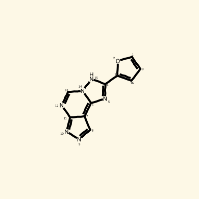 c1coc(-c2nc3c4cnnc-4ncn3[nH]2)c1